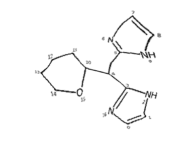 c1c[nH]c(C(c2ncc[nH]2)C2CCCCO2)n1